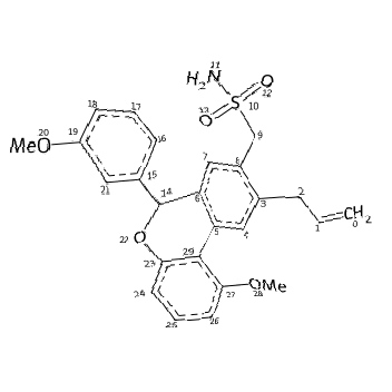 C=CCc1cc2c(cc1CS(N)(=O)=O)C(c1cccc(OC)c1)Oc1cccc(OC)c1-2